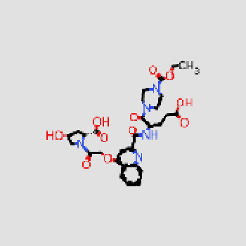 CCOC(=O)N1CCN(C(=O)C(CCC(=O)O)NC(=O)c2cc(OCC(=O)N3C[C@H](O)C[C@@H]3C(=O)O)c3ccccc3n2)CC1